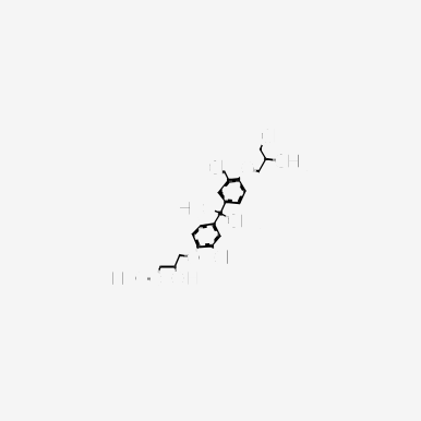 COCC(O)COc1ccc(C(C)(C)c2ccc(OCC(C)CCl)c(Cl)c2)cc1Cl